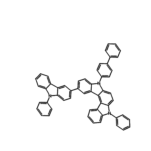 c1ccc(-c2ccc(-n3c4ccc(-c5ccc6c(c5)c5ccccc5n6-c5ccccc5)cc4c4c5c6ccccc6n(-c6ccccc6)c5ccc43)cc2)cc1